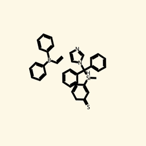 C=CB(c1ccccc1)c1ccccc1.C[SiH](C1=CC(=S)CC=C1)C(c1ccccc1)(c1ccccc1)n1ccnc1